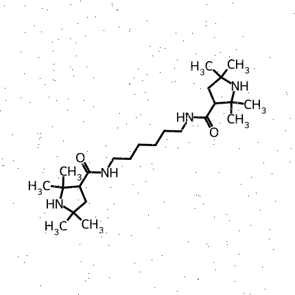 CC1(C)CC(C(=O)NCCCCCCNC(=O)C2CC(C)(C)NC2(C)C)C(C)(C)N1